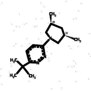 C[C@@H]1C[C@H](C)CN(c2ccc(C(C)(C)C)nn2)C1